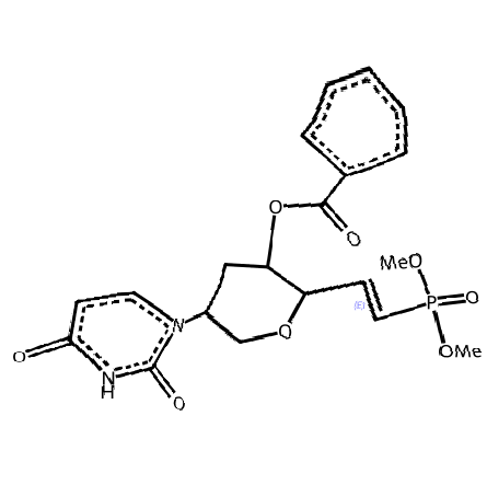 COP(=O)(/C=C/C1OCC(n2ccc(=O)[nH]c2=O)CC1OC(=O)c1ccccc1)OC